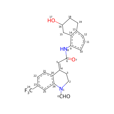 O=CN1CCC(=CC(=O)Nc2cccc3c2CC(O)CC3)c2ccc(C(F)(F)F)cc21